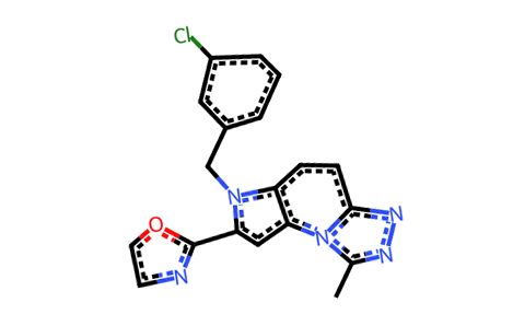 Cc1nnc2ccc3c(cc(-c4ncco4)n3Cc3cccc(Cl)c3)n12